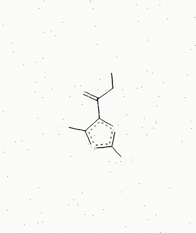 CCCc1nc([AsH2])sc1C(=O)CBr